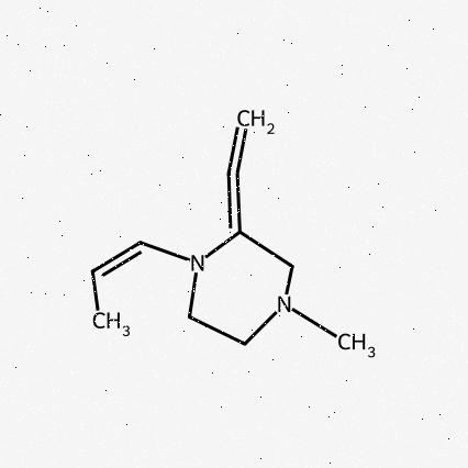 C=C=C1CN(C)CCN1/C=C\C